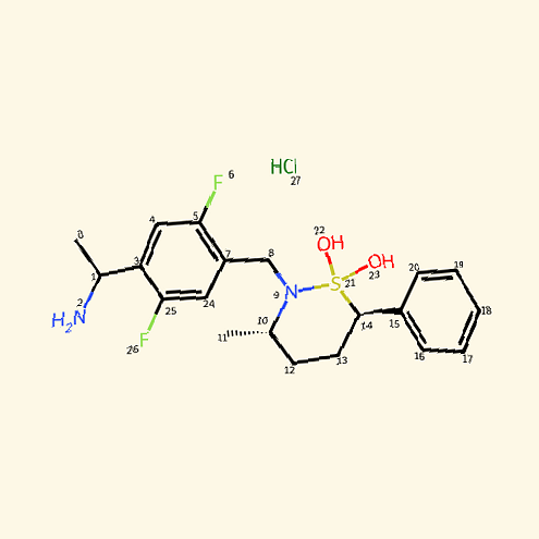 CC(N)c1cc(F)c(CN2[C@@H](C)CC[C@H](c3ccccc3)S2(O)O)cc1F.Cl